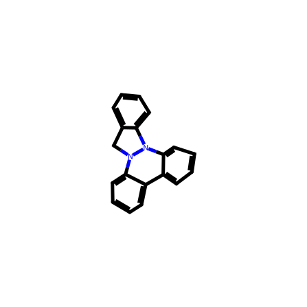 c1ccc2c(c1)CN1c3ccccc3-c3ccccc3N21